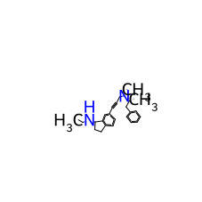 CCN[C@@H]1CCc2ccc(C#CCN(C)[C@H](C)Cc3ccccc3)cc21